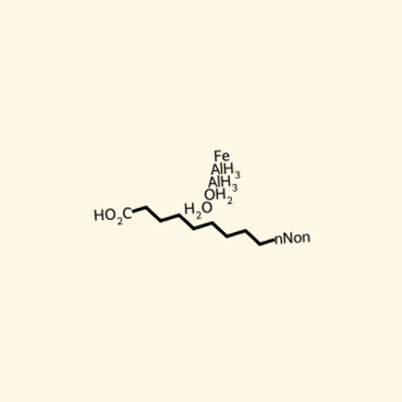 CCCCCCCCCCCCCCCCCC(=O)O.O.O.[AlH3].[AlH3].[Fe]